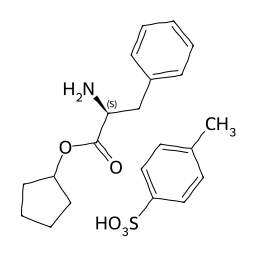 Cc1ccc(S(=O)(=O)O)cc1.N[C@@H](Cc1ccccc1)C(=O)OC1CCCC1